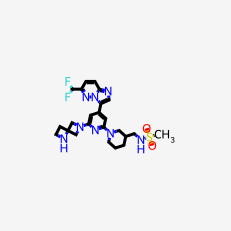 CS(=O)(=O)NCC1CCCN(c2cc(-c3cnc4ccc(C(F)F)nn34)cc(N3CC4(CCN4)C3)n2)C1